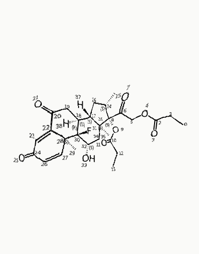 CCC(=O)OCC(=O)[C@]1(OC(=O)CC)[C@@H](C)C[C@H]2[C@@H]3CC(=O)C4=CC(=O)C=C[C@]4(C)[C@@]3(F)[C@@H](O)C[C@@]21C